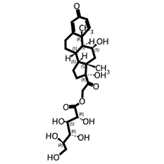 C[C@]12C=CC(=O)C=C1CC[C@@H]1[C@@H]2[C@@H](O)C[C@@]2(C)[C@H]1CC[C@]2(O)C(=O)COC(=O)[C@H](O)[C@@H](O)[C@H](O)[C@H](O)CO